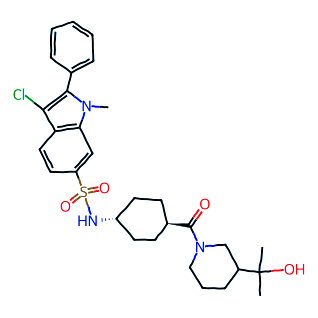 Cn1c(-c2ccccc2)c(Cl)c2ccc(S(=O)(=O)N[C@H]3CC[C@H](C(=O)N4CCCC(C(C)(C)O)C4)CC3)cc21